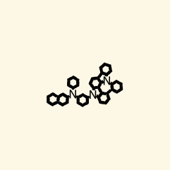 c1ccc(N(c2cccc(-n3c4cccc5c6ccccc6n6c7ccccc7c7ccc3c(c54)c76)c2)c2ccc3ccccc3c2)cc1